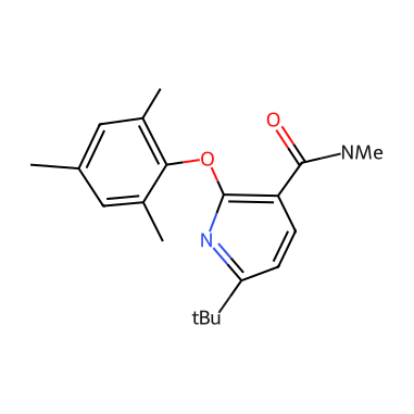 CNC(=O)c1ccc(C(C)(C)C)nc1Oc1c(C)cc(C)cc1C